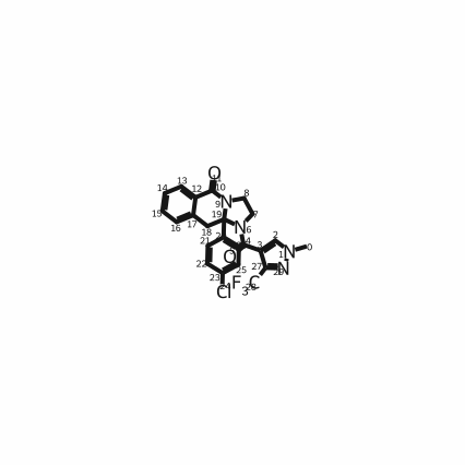 Cn1cc(C(=O)N2CCN3C(=O)c4ccccc4CC32c2ccc(Cl)cc2)c(C(F)(F)F)n1